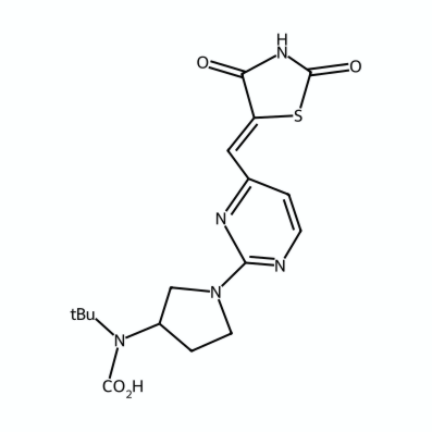 CC(C)(C)N(C(=O)O)C1CCN(c2nccc(/C=C3\SC(=O)NC3=O)n2)C1